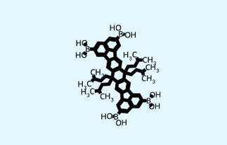 CC(C)CCC1(CCC(C)C)c2cc3c(cc2C(CCC(C)C)(CCC(C)C)c2cc4c(cc21)-c1cc(B(O)O)cc2cc(B(O)O)cc-4c12)-c1cc(B(O)O)cc2cc(B(O)O)cc-3c12